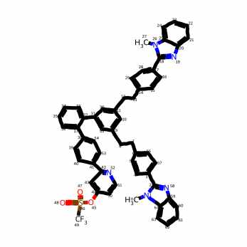 Cn1c(-c2ccc(CCc3cc(CCc4ccc(-c5nc6ccccc6n5C)cc4)cc(-c4ccccc4-c4ccc(-c5cc(OS(=O)(=O)C(F)(F)F)ccn5)cc4)c3)cc2)nc2ccccc21